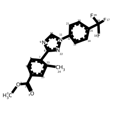 COC(=O)c1ccc(-c2ncn(-c3ccc(C(F)(F)F)cc3)n2)c(C)c1